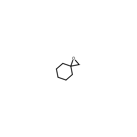 [CH]1OC12CCCCC2